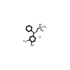 Cc1cc([C@H](CC[N+](C)(C(C)C)C(C)C)c2ccccc2)ccc1O.[Cl-]